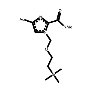 CNC(=O)c1nc(C(C)=O)cn1COCC[Si](C)(C)C